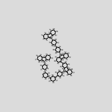 c1cc(-c2ccc(-n3c4ccccc4c4ccccc43)cc2)cc(-c2cccc(-c3ccc(-n4c5ccccc5c5ccc(-c6cccc7c6c6ccccc6n7-c6ccc(-c7ccc(-n8c9ccccc9c9ccccc98)cc7)cc6)cc54)cc3)c2)c1